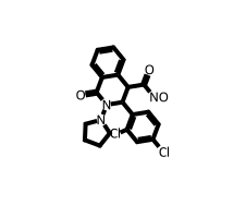 O=NC(=O)C1c2ccccc2C(=O)N(N2CCCC2)C1c1ccc(Cl)cc1Cl